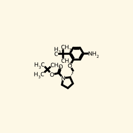 CC(C)(C)OC(=O)N1CCC[C@H]1COc1cc(N)ccc1C(C)(C)C